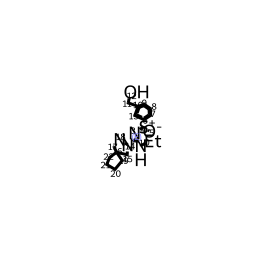 CCN/C(=N\[S+]([O-])c1cccc(CO)c1)N1CC2(C=N1)CCCC2